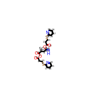 N=C(CC(C(=O)OC(=O)CCSc1ccccn1)S(=O)(=O)O)OC(=O)CCSc1ccccn1